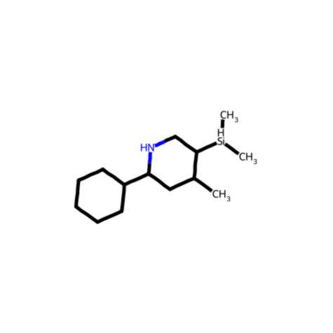 CC1CC(C2CCCCC2)NCC1[SiH](C)C